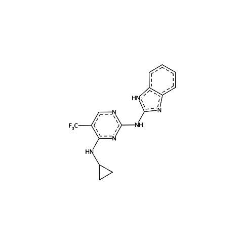 FC(F)(F)c1cnc(Nc2nc3ccccc3[nH]2)nc1NC1CC1